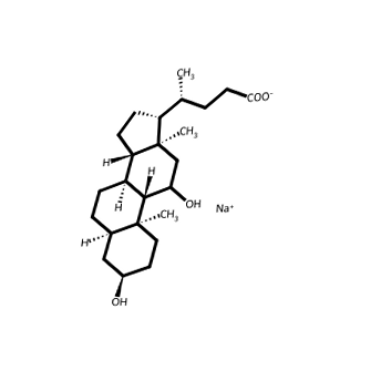 C[C@H](CCC(=O)[O-])[C@H]1CC[C@H]2[C@@H]3CC[C@@H]4C[C@H](O)CC[C@]4(C)[C@H]3C(O)C[C@]12C.[Na+]